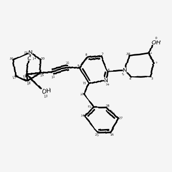 OC1CCCN(c2ccc(C#CC3(O)CN4CCC3CC4)c(Cc3ccccc3)n2)C1